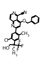 Cc1cc([C@](C)(CO)C(F)(F)F)c(Cl)cc1-c1cc(OCc2ccccc2)c2c(C#N)nccc2n1